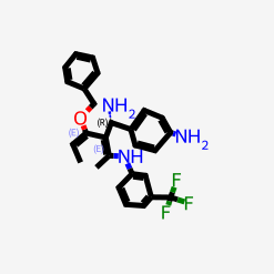 C/C=C(OCc1ccccc1)\C(=C(/C)Nc1cccc(C(F)(F)F)c1)[C@H](N)c1ccc(N)cc1